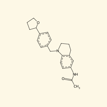 CC(=O)Nc1ccc2c(c1)CCCN2Cc1ccc(C2CCCO2)cc1